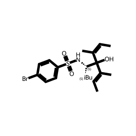 CC=C(C)C(O)(C(C)=CC)[C@@H](NS(=O)(=O)c1ccc(Br)cc1)[C@@H](C)CC